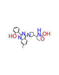 CCC(NC(=O)O)C1CCN(c2nc(-c3ccccc3O)nc3cc(C)ccc23)C1